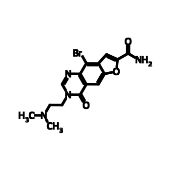 CN(C)CCn1cnc2c(Br)c3cc(C(N)=O)oc3cc2c1=O